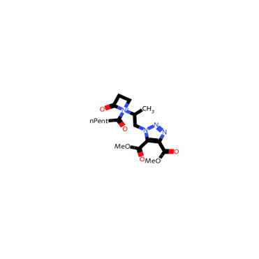 CCCCCC(=O)[N+]1(C(C)Cn2nnc(C(=O)OC)c2C(=O)OC)CCC1=O